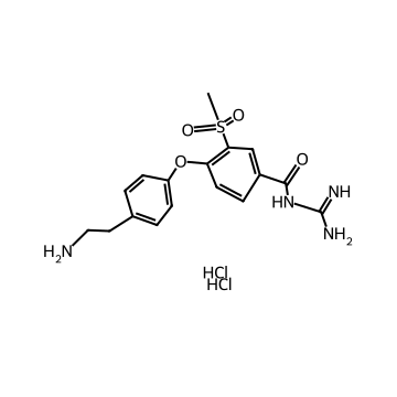 CS(=O)(=O)c1cc(C(=O)NC(=N)N)ccc1Oc1ccc(CCN)cc1.Cl.Cl